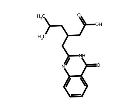 CC(C)CC(CC(=O)O)Cc1nc2ccccc2c(=O)[nH]1